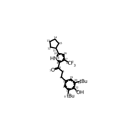 CC(C)(C)c1cc(CCC(=O)c2[nH]c(C3CCCC3)cc2C(F)(F)F)cc(C(C)(C)C)c1O